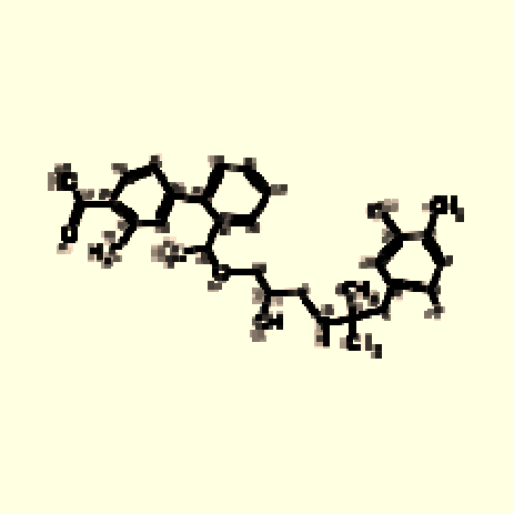 Cc1cc(F)c(CC(C)(C)NC[C@@H](O)COC(C)c2ccccc2-c2ccc(C(=O)O)c(C)c2)cc1Cl